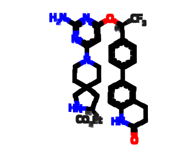 CCOC(=O)[C@@H]1CC2(CCN(c3cc(O[C@H](c4ccc(-c5ccc6c(c5)CCC(=O)N6)cc4)C(F)(F)F)nc(N)n3)CC2)CN1